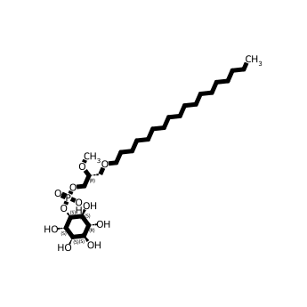 CCCCCCCCCCCCCCCCCCOC[C@H](COP(=O)(O)O[C@@H]1[C@@H](O)[C@H](O)[C@@H](O)[C@H](O)[C@@H]1O)OC